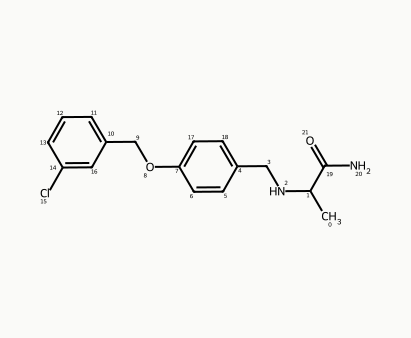 CC(NCc1ccc(OCc2cccc(Cl)c2)cc1)C(N)=O